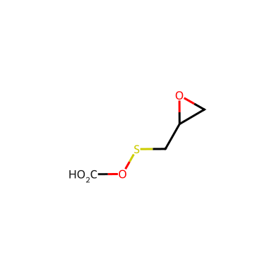 O=C(O)OSCC1CO1